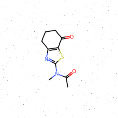 CC(=O)N(C)c1nc2c(s1)C(=O)CCC2